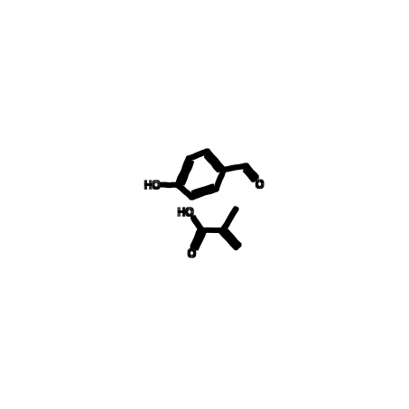 C=C(C)C(=O)O.O=Cc1ccc(O)cc1